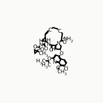 COc1c(Cl)ccc2c(O[C@@H]3C[C@H]4C(=O)N[C@]5(C(=O)NS(=O)(=O)C6(C)CC6)CC5/C=C\CCCCC[C@H](N)C(=O)N4C3)cc(OC(C)C)nc12